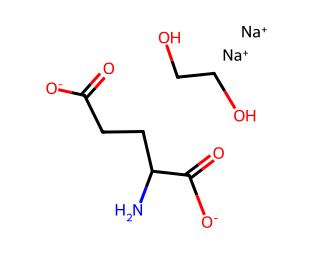 NC(CCC(=O)[O-])C(=O)[O-].OCCO.[Na+].[Na+]